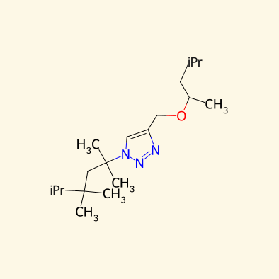 CC(C)CC(C)OCc1cn(C(C)(C)CC(C)(C)C(C)C)nn1